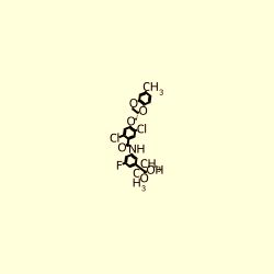 Cc1ccc2c(c1)OC[C@@H](COc1cc(Cl)c(C(=O)Nc3cc(F)cc(C(C)(C)C(=O)O)c3)cc1Cl)O2